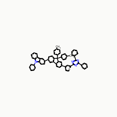 Cc1ccc(C2(c3ccc(C)cc3)c3ccc(-c4ccc5c(c4)c4ccccc4n5-c4ccccc4)cc3-c3ccc(-c4cccc(-c5nc(-c6ccccc6)nc(-c6ccccc6)n5)c4)cc32)cc1